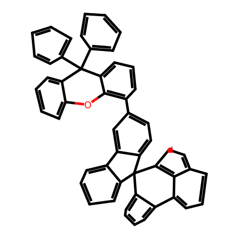 c1ccc(C2(c3ccccc3)c3ccccc3Oc3c(-c4ccc5c(c4)-c4ccccc4C54c5ccccc5-c5cccc6cccc4c56)cccc32)cc1